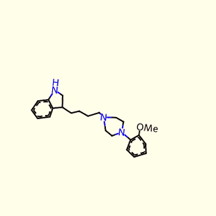 COc1ccccc1N1CCN(CCCCC2CNc3ccccc32)CC1